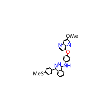 COc1cnc2c(Oc3ccc(Nc4nnc(-c5ccc(SC)cc5)c5ccccc45)cc3)ccnc2c1